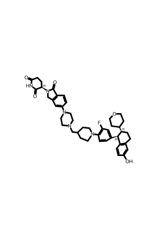 O=C1CC[C@@H](N2Cc3cc(N4CCN(CC5CCN(c6ccc([C@@H]7c8ccc(O)cc8CC[C@@H]7C7CCOCC7)cc6F)CC5)CC4)ccc3C2=O)C(=O)N1